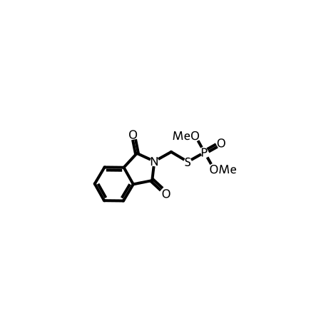 COP(=O)(OC)SCN1C(=O)c2ccccc2C1=O